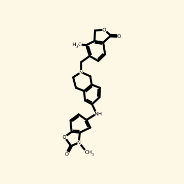 Cc1c(CN2CCc3cc(Nc4ccc5oc(=O)n(C)c5c4)ccc3C2)ccc2c1COC2=O